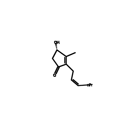 CCC/C=C\CC1=C(C)[C@@H](O)CC1=O